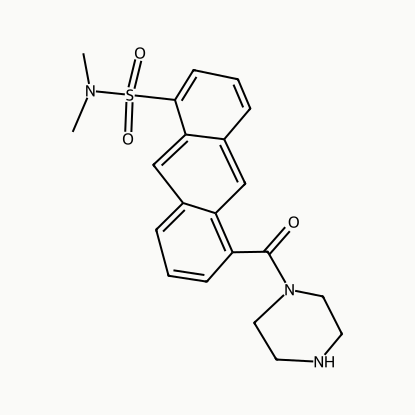 CN(C)S(=O)(=O)c1cccc2cc3c(C(=O)N4CCNCC4)cccc3cc12